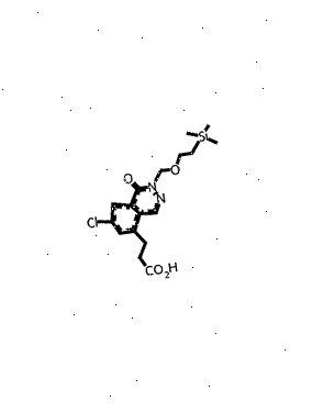 C[Si](C)(C)CCOCn1ncc2c(CCC(=O)O)cc(Cl)cc2c1=O